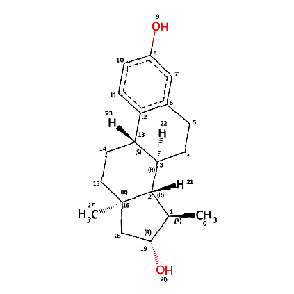 C[C@@H]1[C@H]2[C@@H]3CCc4cc(O)ccc4[C@H]3CC[C@]2(C)C[C@H]1O